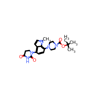 Cn1ccc2c(N3CCC(=O)NC3=O)ccc(N3CCN(C(=O)OC(C)(C)C)CC3)c21